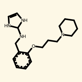 C1=CNC(NCc2ccccc2OCCCN2CCCCC2)N1